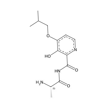 CC(C)COc1ccnc(C(=O)NC(=O)[C@H](C)N)c1O